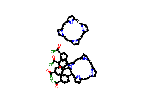 C1=Cc2cc3ccc(cc4nc(cc5ccc(cc1n2)[nH]5)C=C4)[nH]3.O=C(Cl)c1ccc(-c2c(-c3ccc(C(=O)Cl)cc3)c3c(-c4ccc(C(=O)Cl)cc4)c4nc(cc5ccc(cc6nc(cc2n3-c2ccc(C(=O)Cl)cc2)C=C6)[nH]5)C=C4)cc1